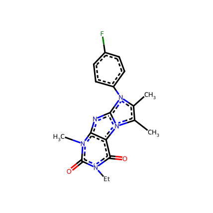 CCn1c(=O)c2c(nc3n(-c4ccc(F)cc4)c(C)c(C)n23)n(C)c1=O